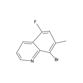 Cc1cc(F)c2cccnc2c1Br